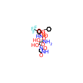 C[C@H](NP(=O)(OC[C@@]1(N)O[C@@H](n2ccc(=O)[nH]c2=O)[C@H](O)[C@@H]1O)Oc1ccc(C(F)(F)F)cc1)C(=O)OCc1ccccc1